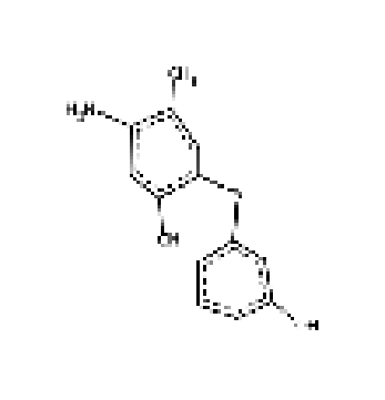 Cc1cc(Sc2cccc(O)c2)c(C)cc1N